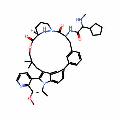 CCn1c(-c2cccnc2[C@H](C)OC)c2c3cc(ccc31)-c1cccc(c1)C[C@H](NC(=O)[C@@H](NC)C1CCCC1)C(=O)N1CCC[C@H](N1)C(=O)OCC(C)(C)C2